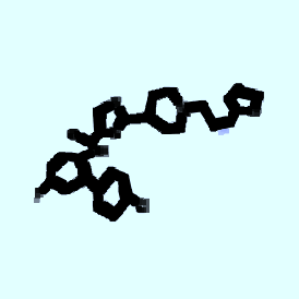 O=C(Nc1ccc(F)cc1-c1ccc(Cl)cc1)c1csc(C2CCN(C/C=C\c3ccco3)CC2)n1